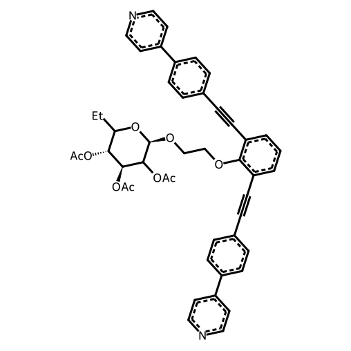 CCC1O[C@@H](OCCOc2c(C#Cc3ccc(-c4ccncc4)cc3)cccc2C#Cc2ccc(-c3ccncc3)cc2)C(OC(C)=O)[C@@H](OC(C)=O)[C@@H]1OC(C)=O